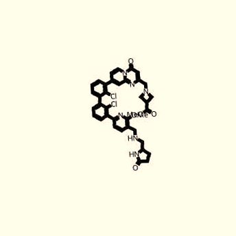 COC(=O)C1CN(Cc2cc(=O)n3ccc(-c4cccc(-c5cccc(-c6ccc(CNCC7CCC(=O)N7)c(OC)n6)c5Cl)c4Cl)cc3n2)C1